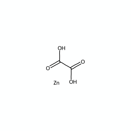 O=C(O)C(=O)O.[Zn]